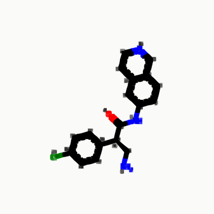 NC[C@H](C(=O)Nc1ccc2cnccc2c1)c1ccc(Cl)cc1